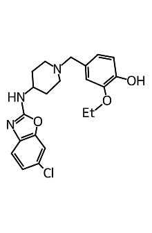 CCOc1cc(CN2CCC(Nc3nc4ccc(Cl)cc4o3)CC2)ccc1O